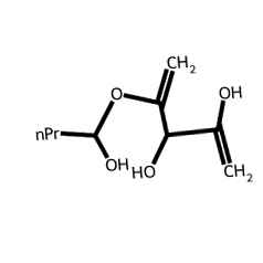 C=C(O)C(O)C(=C)OC(O)CCC